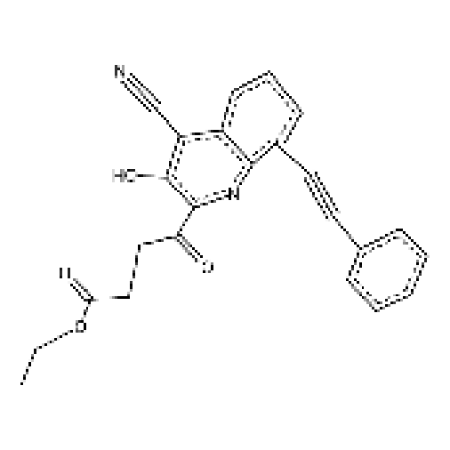 CCOC(=O)CCC(=O)c1nc2c(C#Cc3ccccc3)cccc2c(C#N)c1O